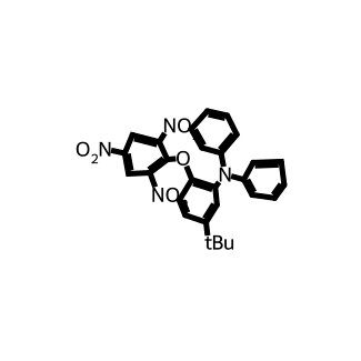 CC(C)(C)c1ccc(Oc2c([N+](=O)[O-])cc([N+](=O)[O-])cc2[N+](=O)[O-])c(N(c2ccccc2)c2ccccc2)c1